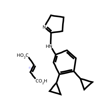 O=C(O)/C=C/C(=O)O.c1cc(C2CC2)c(C2CC2)cc1NC1=NCCC1